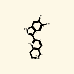 Fc1cc2[nH]nc(-c3ccc4c(n3)CCNC4)c2cc1F